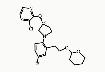 Clc1cccnc1O[C@H]1CCN(c2ccc(Br)cc2CCOC2CCCCO2)C1